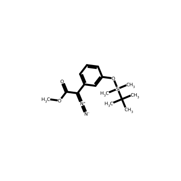 COC(=O)C(=[N+]=[N-])c1cccc(O[Si](C)(C)C(C)(C)C)c1